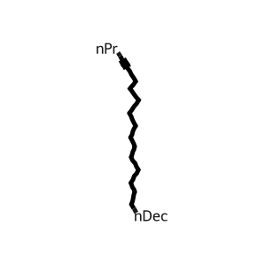 [CH2]CCC#CCCCCCCCCCCCCCCCCCCCCC[CH2]